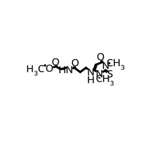 CCOC(=O)CCNC(=O)CCNc1cc(=O)n(C)c(=S)n1C